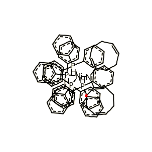 C1=CCC[C]([Ni]([C]2=CCCC=CCC2)[Ni]([PH](c2ccccc2)(c2ccccc2)c2ccccc2)([PH](c2ccccc2)(c2ccccc2)c2ccccc2)([PH](c2ccccc2)(c2ccccc2)c2ccccc2)[PH](c2ccccc2)(c2ccccc2)c2ccccc2)=CCC1